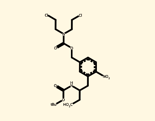 CC(C)(C)OC(=O)NC(CC(=O)O)Cc1cc(COC(=O)N(CCCl)CCCl)ccc1[N+](=O)[O-]